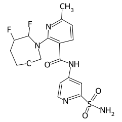 Cc1ccc(C(=O)Nc2ccnc(S(N)(=O)=O)c2)c(N2CCCCC(F)C2F)n1